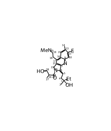 CC[C@](C)(O)C/C=C1/c2nc3cc(F)c(C)cc3c(CCNC)c2CN1C(=O)C(C)CO